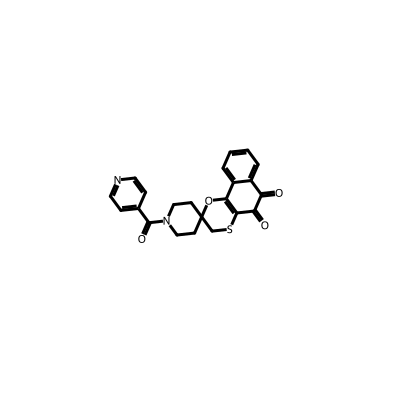 O=C1C(=O)c2ccccc2C2=C1SCC1(CCN(C(=O)c3ccncc3)CC1)O2